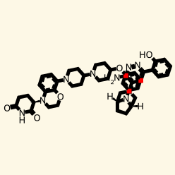 Nc1nnc(-c2ccccc2O)cc1N1C[C@H]2CC[C@@H](C1)N2c1cccc(OC2CCN(C3CCN(c4cccc5c4OCCN5[C@@H]4CCC(=O)NC4=O)CC3)CC2)c1